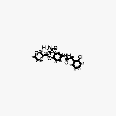 NS(=O)(=O)c1cc(NC(=O)Cc2ccccc2Cl)ccc1OCC1COCCO1